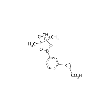 CC1(C)OB(c2cccc(C3CC3C(=O)O)c2)OC1(C)C